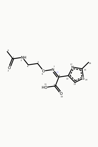 CC(=O)NCCO/N=C(\C(=O)O)c1csc(C)n1